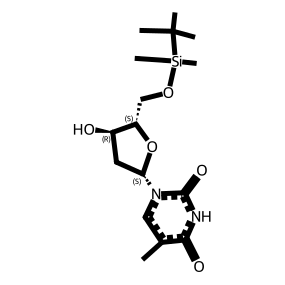 Cc1cn([C@@H]2C[C@@H](O)[C@H](CO[Si](C)(C)C(C)(C)C)O2)c(=O)[nH]c1=O